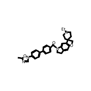 CCN1CCC2(CC1)COc1cc3c(cc12)N(C(=O)c1ccc(-c2ccc(N4C=NC(C)O4)cc2)cc1)CC3